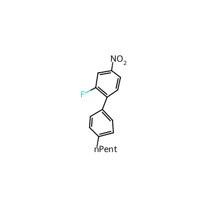 CCCCCc1ccc(-c2ccc([N+](=O)[O-])cc2F)cc1